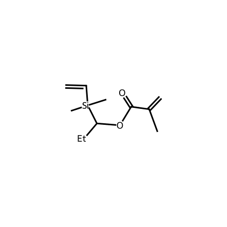 C=C[Si](C)(C)C(CC)OC(=O)C(=C)C